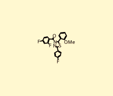 COc1ccccc1C1SC(c2ccc(F)cc2)=NN1C(=O)c1ccc(F)cc1F